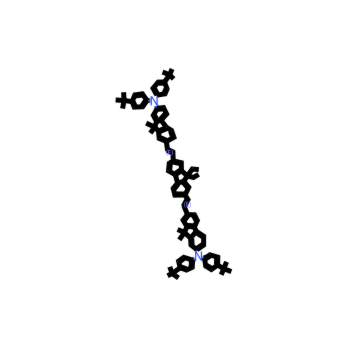 CCC1(CC)c2cc(/C=C/c3ccc4c(c3)C(C)(C)c3cc(N(c5ccc(C(C)(C)C)cc5)c5ccc(C(C)(C)C)cc5)ccc3-4)ccc2-c2ccc(/C=C/c3ccc4c(c3)C(C)(C)c3cc(N(c5ccc(C(C)(C)C)cc5)c5ccc(C(C)(C)C)cc5)ccc3-4)cc21